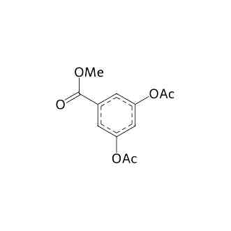 COC(=O)c1cc(OC(C)=O)cc(OC(C)=O)c1